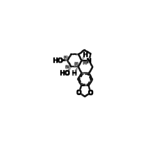 O[C@H]1[C@@H]2c3cc4c(cc3CN3CCC(C[C@@H]1O)[C@H]23)OCO4